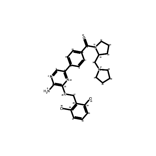 Nc1ncc(-c2ccc(C(=O)N3CCCC3CN3CCCC3)cc2)nc1OCc1c(Cl)cccc1Cl